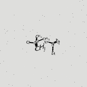 CCN(CC)CC.C[Si](C)(C)Cl